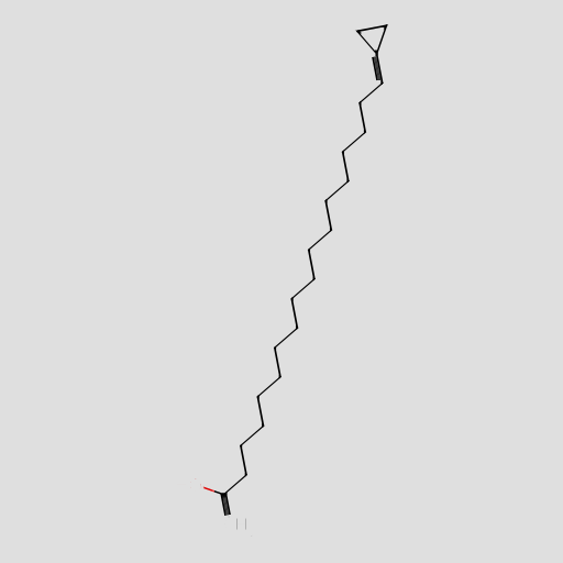 C=C(O)CCCCCCCCCCCCCCCCC=C1CC1